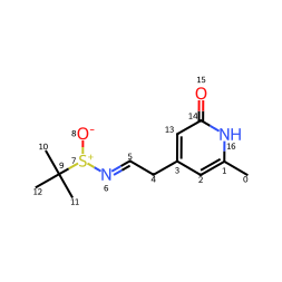 Cc1cc(CC=N[S+]([O-])C(C)(C)C)cc(=O)[nH]1